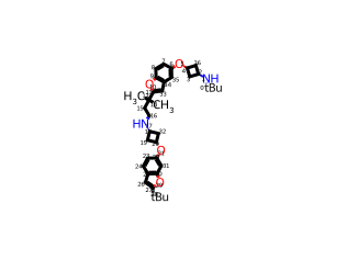 CC(C)(C)N[C@H]1C[C@@H](Oc2ccc3oc(C(C)(C)CCN[C@H]4C[C@@H](Oc5ccc6cc(C(C)(C)C)oc6c5)C4)cc3c2)C1